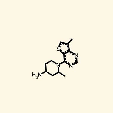 Cc1csc2c(N3CCC(N)CC3C)ncnc12